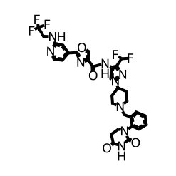 O=C1CCN(c2ccccc2CN2CCC(n3cc(NC(=O)c4coc(-c5ccnc(NCC(F)(F)F)c5)n4)c(C(F)F)n3)CC2)C(=O)N1